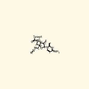 C=C1N=C(N)C=CN1[C@@H]1O[C@](CN=[N+]=[N-])(COC(=O)CCCCCCC)[C@@H](O)[C@H]1F